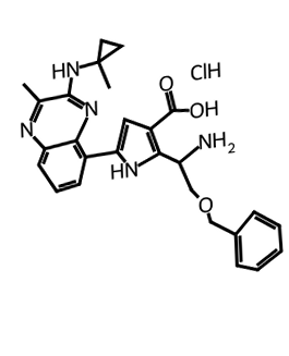 Cc1nc2cccc(-c3cc(C(=O)O)c(C(N)COCc4ccccc4)[nH]3)c2nc1NC1(C)CC1.Cl